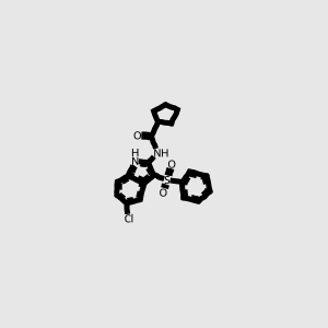 O=C(Nc1[nH]c2ccc(Cl)cc2c1S(=O)(=O)c1ccccc1)C1CCCC1